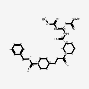 COC(=O)C[C@@H](NC(=O)OC(C)(C)C)NC(=O)[C@@H]1CCCN(C(=O)CCC2CCN(C(=O)OCc3ccccc3)CC2)C1